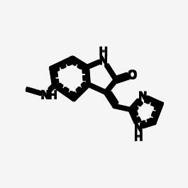 CNc1ccc2c(c1)/C(=C/c1ncc[nH]1)C(=O)N2